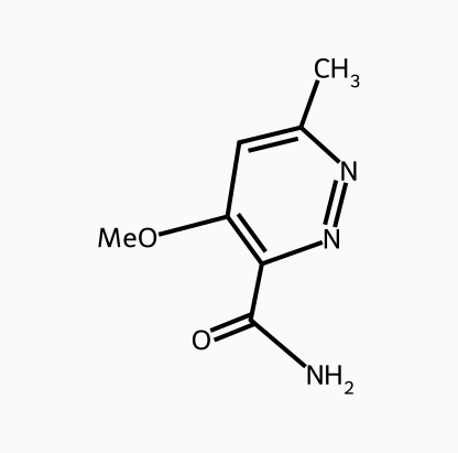 COc1cc(C)nnc1C(N)=O